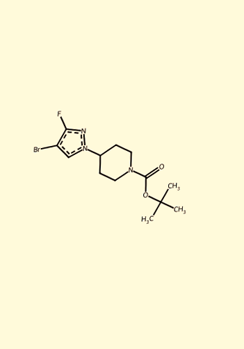 CC(C)(C)OC(=O)N1CCC(n2cc(Br)c(F)n2)CC1